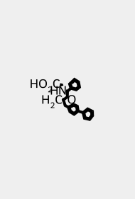 C=C(Cc1ccc(-c2ccccc2)cc1)C(=O)C(NCC(=O)O)c1ccccc1